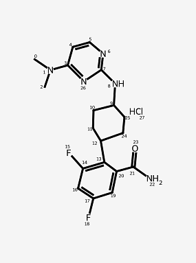 CN(C)c1ccnc(NC2CCC(c3c(F)cc(F)cc3C(N)=O)CC2)n1.Cl